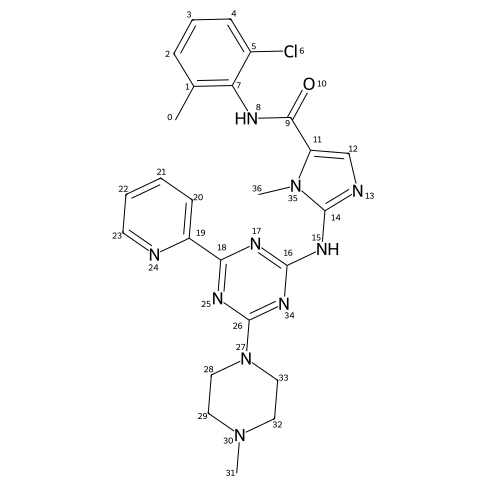 Cc1cccc(Cl)c1NC(=O)c1cnc(Nc2nc(-c3ccccn3)nc(N3CCN(C)CC3)n2)n1C